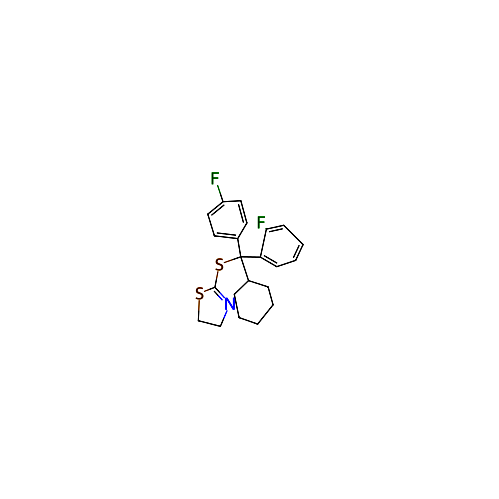 Fc1ccc(C(SC2=NCCS2)(c2ccccc2F)C2CCCCC2)cc1